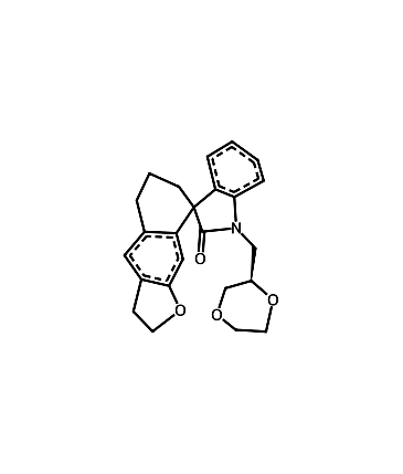 O=C1N(C[C@@H]2COCCO2)c2ccccc2C12CCCc1cc3c(cc12)OCC3